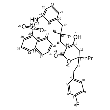 CCCC1(CCc2ccc(F)cc2)CC(O)=C(CC(C)(C)Cc2cccc(NS(=O)(=O)c3cccc4cccnc34)c2)C(=O)O1